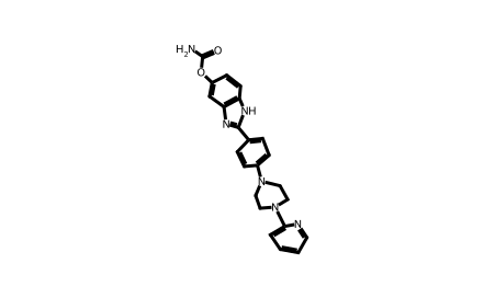 NC(=O)Oc1ccc2[nH]c(-c3ccc(N4CCN(c5ccccn5)CC4)cc3)nc2c1